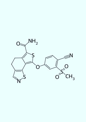 CS(=O)(=O)c1cc(Oc2sc(C(N)=O)c3c2-c2sncc2CC3)ccc1C#N